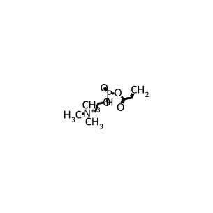 C=CC(=O)O[PH](=O)OCC[N+](C)(C)C